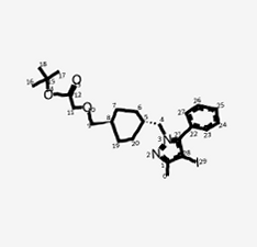 Cc1nn(C[C@H]2CC[C@H](COCC(=O)OC(C)(C)C)CC2)c(-c2ccccc2)c1I